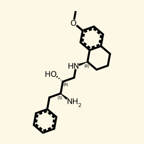 COc1ccc2c(c1)[C@H](NC[C@@H](O)[C@@H](N)Cc1ccccc1)CCC2